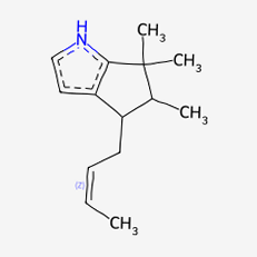 C/C=C\CC1c2cc[nH]c2C(C)(C)C1C